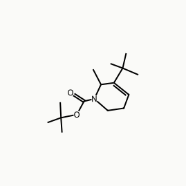 CC1C(C(C)(C)C)=CCCN1C(=O)OC(C)(C)C